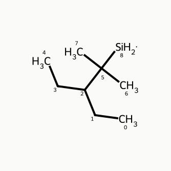 CCC(CC)C(C)(C)[SiH2]